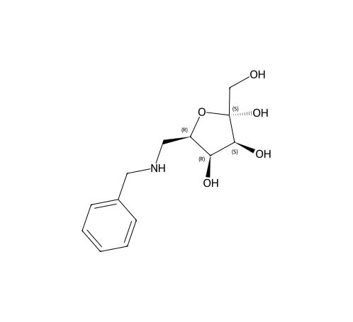 OC[C@]1(O)O[C@H](CNCc2ccccc2)[C@H](O)[C@@H]1O